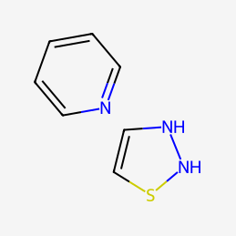 C1=CSNN1.c1ccncc1